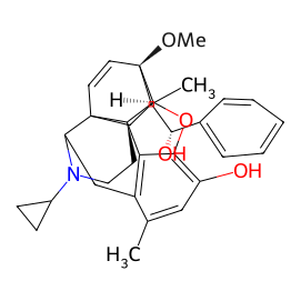 CO[C@]12C=CC3(CC1(C)[C@@H](O)c1ccccc1)C1Cc4c(C)cc(O)c5c4[C@@]3(CCN1C1CC1)[C@@H]2O5